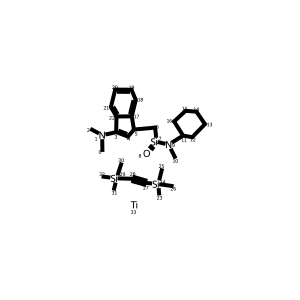 CN(C)C1=CC(C[Si](=O)N(C)C2CCCCC2)c2ccccc21.C[Si](C)(C)C#C[Si](C)(C)C.[Ti]